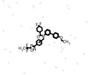 CCOc1ccc(-c2cccc(N(CC34CCC(c5noc(C(C)(F)F)n5)(CC3)CC4)C(=O)C3CCC(F)(F)CC3)c2)cc1